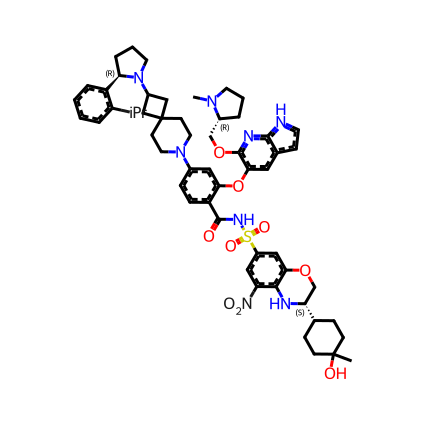 CC(C)c1ccccc1[C@H]1CCCN1C1CC2(CCN(c3ccc(C(=O)NS(=O)(=O)c4cc5c(c([N+](=O)[O-])c4)N[C@@H](C4CCC(C)(O)CC4)CO5)c(Oc4cc5cc[nH]c5nc4OC[C@H]4CCCN4C)c3)CC2)C1